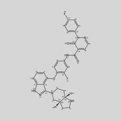 O=C(Nc1ccc(Oc2ccnc3[nH]nc(N4CC[C@@H]5NCC[C@@H]5C4)c23)c(F)c1)c1ccnn(-c2ccc(F)cc2)c1=O